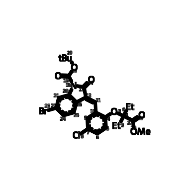 CCC(CC)(Oc1ccc(Cl)cc1/C=C1/C(=O)N(C(=O)OC(C)(C)C)c2cc(Br)ccc21)C(=O)OC